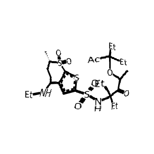 CCNC1C[C@H](C)S(=O)(=O)c2sc(S(=O)(=O)NC(CC)(CC)C(=O)C(C)OC(CC)(CC)C(C)=O)cc21